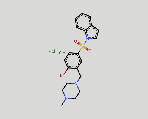 CN1CCN(Cc2cc(S(=O)(=O)n3ccc4ccccc43)ccc2Br)CC1.Cl.Cl